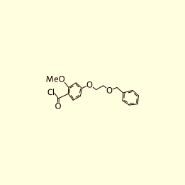 COc1cc(OCCOCc2ccccc2)ccc1C(=O)Cl